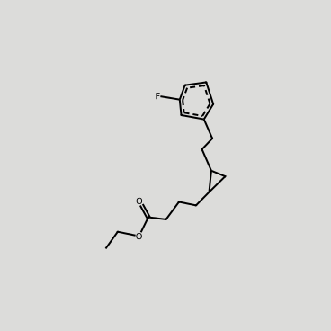 CCOC(=O)CCCC1CC1CCc1cccc(F)c1